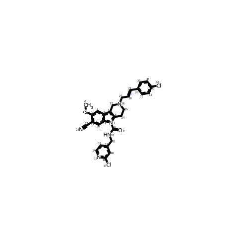 CSc1cc2c3c(n(C(=O)NCc4ccnc(Cl)c4)c2cc1C#N)CCN(C/C=C/c1ccc(Cl)cc1)C3